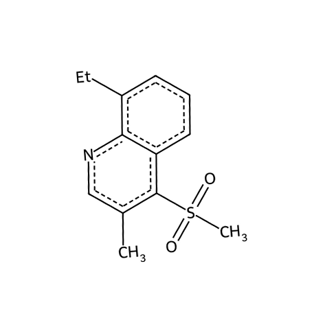 CCc1cccc2c(S(C)(=O)=O)c(C)cnc12